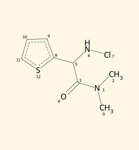 CN(C)C(=O)C(NCl)c1cccs1